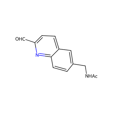 CC(=O)NCc1ccc2nc(C=O)ccc2c1